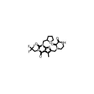 Cc1c(CN2CCNC(=O)C2=O)sc2c1c(=O)n(CC(F)(F)F)c(=O)n2CC1CCCO1